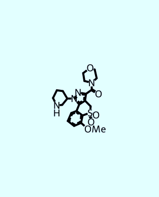 COc1cccc2c1S(=O)(=O)Cc1c(C(=O)N3CCOCC3)nn(C3CCCNC3)c1-2